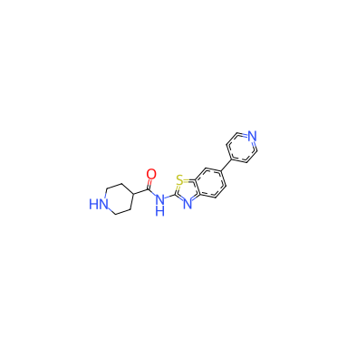 O=C(Nc1nc2ccc(-c3ccncc3)cc2s1)C1CCNCC1